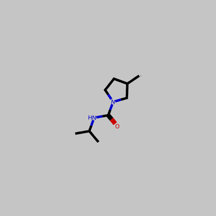 [CH2]C1CCN(C(=O)NC(C)C)C1